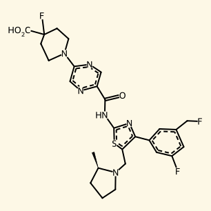 C[C@@H]1CCCN1Cc1sc(NC(=O)c2cnc(N3CCC(F)(C(=O)O)CC3)cn2)nc1-c1cc(F)cc(CF)c1